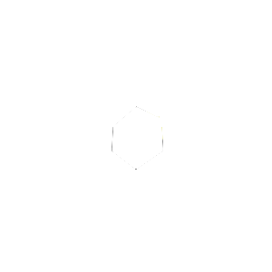 [C]1C[CH]SCC1